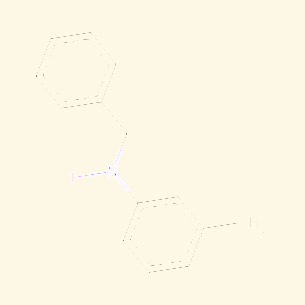 [CH2]c1cccc(N(I)Cc2ccccc2)c1